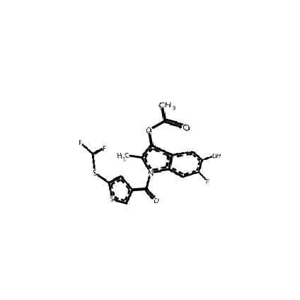 CC(=O)Oc1c(C)n(C(=O)c2csc(SC(F)F)c2)c2cc(F)c(O)cc12